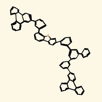 c1ccc(-c2cc(-c3cccc(-c4ccc5c(c4)sc4c(-c6cccc(-c7ccc8c9ccccc9c9ccccc9c8c7)c6)cccc45)c3)cc(-c3cccc(-c4ccc5c6ccccc6c6ccccc6c5c4)c3)c2)cc1